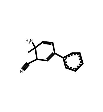 CC1(N)C=CC(c2ccccc2)=CC1C#N